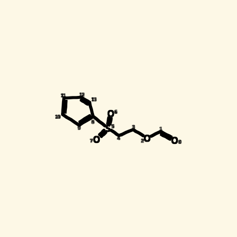 O=[C]OC[CH]S(=O)(=O)c1ccccc1